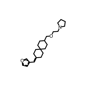 C(=C1CCC2(CC1)CCC(COCCN1CCCC1)CC2)c1ccoc1